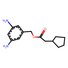 Nc1cc(N)cc(COC(=O)CC2CCCC2)c1